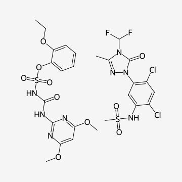 CCOc1ccccc1OS(=O)(=O)NC(=O)Nc1nc(OC)cc(OC)n1.Cc1nn(-c2cc(NS(C)(=O)=O)c(Cl)cc2Cl)c(=O)n1C(F)F